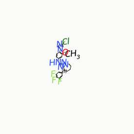 COc1cc(Nc2nc3n(n2)CCCC[C@H]3c2cc(F)c(F)c(F)c2)ccc1-n1cnc(Cl)c1